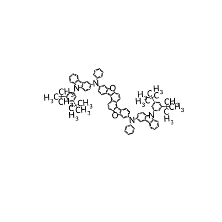 CC(C)(C)c1cc(-n2c3ccccc3c3cc(N(c4ccccc4)c4ccc5c(c4)oc4ccc6c(ccc7oc8cc(N(c9ccccc9)c9ccc%10c(c9)c9ccccc9n%10-c9cc(C(C)(C)C)cc(C(C)(C)C)c9)ccc8c76)c45)ccc32)cc(C(C)(C)C)c1